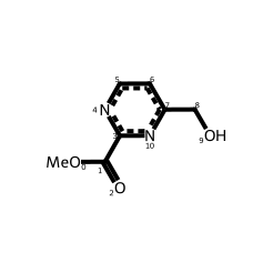 COC(=O)c1nccc(CO)n1